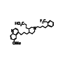 COc1ccc2nccc(CCCC3CCN(CCCCc4ccccc4C(F)(F)F)CC3CCC(=O)O)c2c1